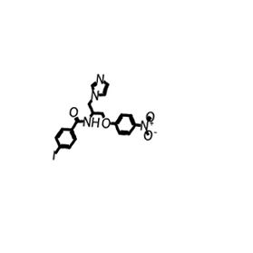 O=C(NC(COc1ccc([N+](=O)[O-])cc1)Cn1ccnc1)c1ccc(I)cc1